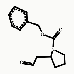 O=CCC1CCCN1C(=O)OCc1ccccc1